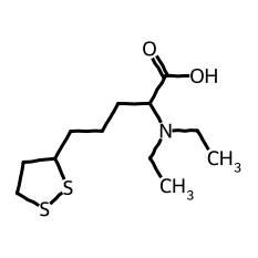 CCN(CC)C(CCCC1CCSS1)C(=O)O